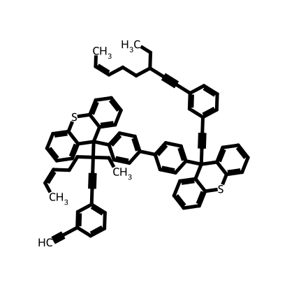 C#Cc1cccc(C#CC(CC)(CC/C=C\C)C2(c3ccc(-c4ccc(C5(C#Cc6cccc(C#CC(CC)CC/C=C\C)c6)c6ccccc6Sc6ccccc65)cc4)cc3)c3ccccc3Sc3ccccc32)c1